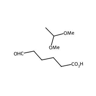 COC(C)OC.O=CCCCCC(=O)O